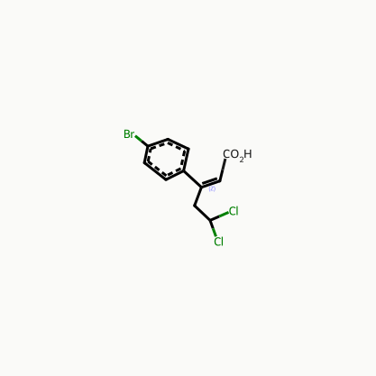 O=C(O)/C=C(/CC(Cl)Cl)c1ccc(Br)cc1